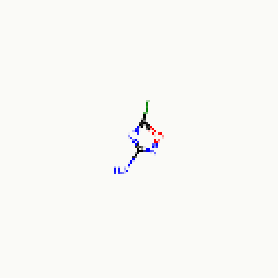 Nc1noc(F)n1